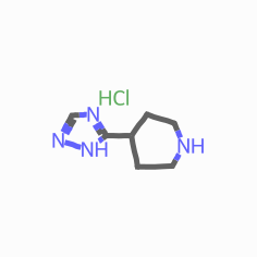 Cl.c1n[nH]c(C2CCNCC2)n1